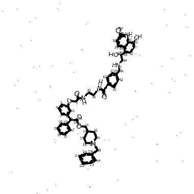 O=C(COc1cccc(C(C(=O)OCC2CCN(Cc3ccccc3)CC2)c2ccccc2)c1)NCCNC(=O)c1ccc(CNC[C@H](O)c2ccc(O)c3[nH]c(=O)ccc23)cc1